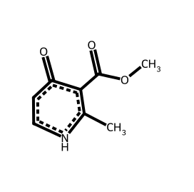 COC(=O)c1c(C)[nH]ccc1=O